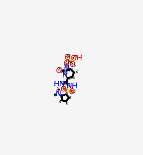 CN(C)C1CCCC1S(=O)(=O)NC(=N)C1CCC2CN1C(=O)N2OS(=O)(=O)O